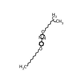 CCCCCCCCCCCOc1ccc(-c2ncc(OCCCCCCC(C)CC)cn2)cc1